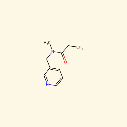 CCC(=O)N(C)Cc1cccnc1